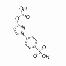 O=C(O)Oc1ccn(-c2ccc(S(=O)(=O)O)cc2)n1